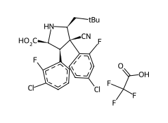 CC(C)(C)C[C@@H]1N[C@H](C(=O)O)[C@H](c2cccc(Cl)c2F)[C@@]1(C#N)c1ccc(Cl)cc1F.O=C(O)C(F)(F)F